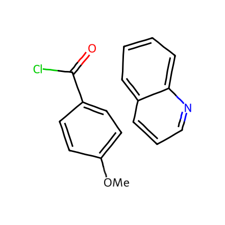 COc1ccc(C(=O)Cl)cc1.c1ccc2ncccc2c1